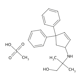 CC(C)(CO)NC1C=CC(c2ccccc2)(c2ccccc2)C1.CS(=O)(=O)O